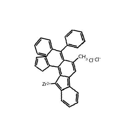 Cc1cc2c(c(C3=CC=CC3)c1=C(c1ccccc1)c1ccccc1)[C]([Zr+2])=c1ccccc1=2.[Cl-].[Cl-]